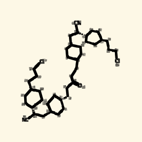 N#CC(CC1CCC(CCC(=O)CC[C@H]2CC[C@H](CC(C#N)[C@H]3CC[C@H](CCCCl)CC3)CC2)CC1)[C@H]1CC[C@H](CCCCl)CC1